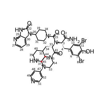 NC(=O)[C@H](Cc1cc(Br)c(O)c(Br)c1)N(C(=O)N1CCC(n2c(=O)[nH]c3ncccc32)CC1)[C@@H](CC1CCNCC1)C(=O)N1CCN(c2ccncc2)CC1